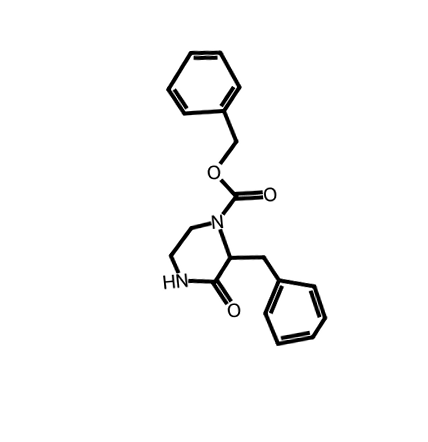 O=C1NCCN(C(=O)OCc2ccccc2)C1Cc1ccccc1